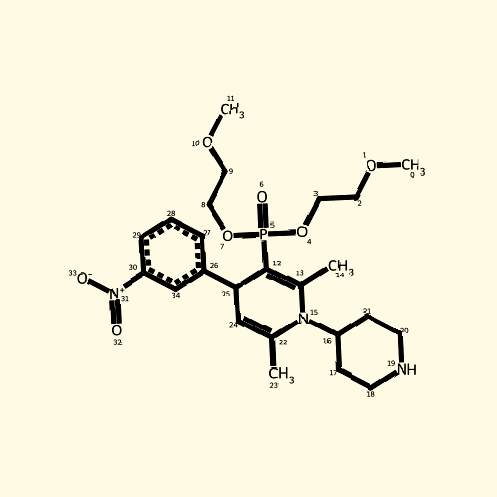 COCCOP(=O)(OCCOC)C1=C(C)N(C2CCNCC2)C(C)=CC1c1cccc([N+](=O)[O-])c1